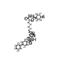 NC(=O)C(CCCCSc1nnc(NS(=O)(=O)c2ccc(-c3ccccc3)cc2)s1)OCc1ccc(F)cc1